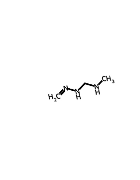 C=NNCNC